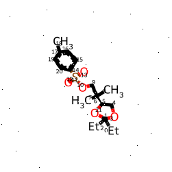 CCC1(CC)OC[C@H](C(C)(C)COS(=O)(=O)c2ccc(C)cc2)O1